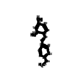 COc1ccc(/C=N/c2ccc(O)cc2O)cn1